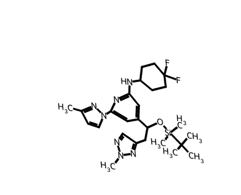 Cc1ccn(-c2cc(C(Cc3cnn(C)n3)O[Si](C)(C)C(C)(C)C)cc(NC3CCC(F)(F)CC3)n2)n1